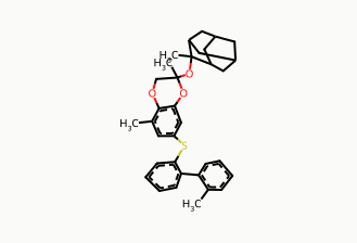 Cc1ccccc1-c1ccccc1Sc1cc(C)c2c(c1)OC(C)(OC1(C)C3CC4CC(C3)CC1C4)CO2